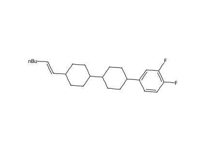 CCCC/C=C/C1CCC(C2CCC(c3ccc(F)c(F)c3)CC2)CC1